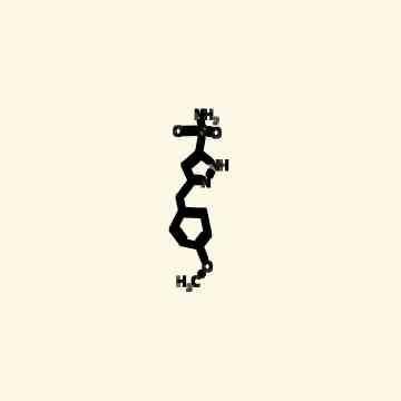 COc1ccc(Cc2cc(S(N)(=O)=O)[nH]n2)cc1